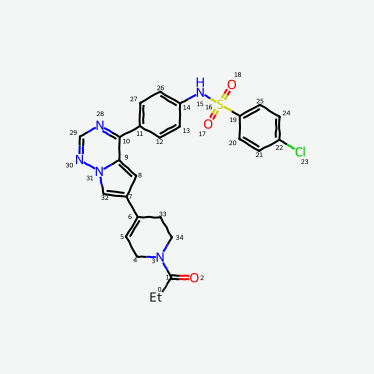 CCC(=O)N1CC=C(c2cc3c(-c4ccc(NS(=O)(=O)c5ccc(Cl)cc5)cc4)ncnn3c2)CC1